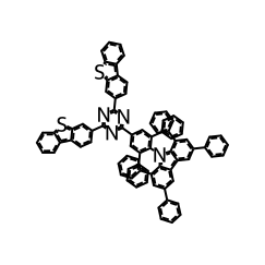 c1ccc(-c2cc(-c3ccccc3)c3c(c2)c2cc(-c4ccccc4)cc(-c4ccccc4)c2n3-c2c(-c3ccccc3)cc(-c3nc(-c4ccc5c(c4)sc4ccccc45)nc(-c4ccc5c(c4)sc4ccccc45)n3)cc2-c2ccccc2)cc1